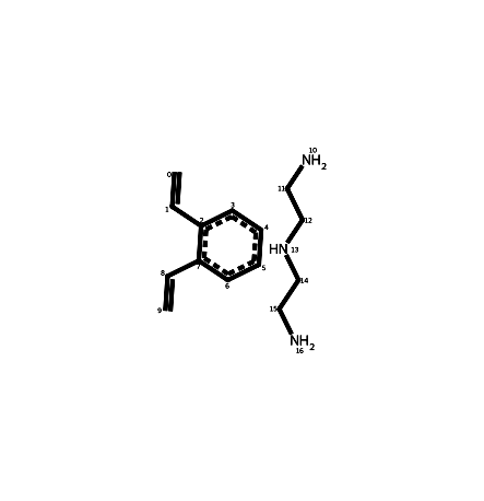 C=Cc1ccccc1C=C.NCCNCCN